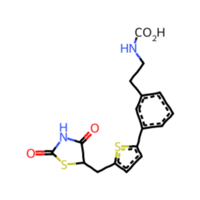 O=C(O)NCCc1cccc(-c2ccc(CC3SC(=O)NC3=O)s2)c1